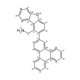 NCc1c(-c2ccc3c4ccccc4c4ccccc4c3c2)ccc2oc3ccccc3c12